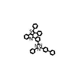 c1ccc(-c2ccc(-c3nc(-c4ccccc4)nc(-c4cccc(-c5nc6ccccc6c6sc(-c7ccccc7)c(-c7ccccc7)c56)c4)n3)cc2)cc1